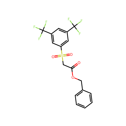 O=C(CS(=O)(=O)c1cc(C(F)(F)F)cc(C(F)(F)F)c1)OCc1ccccc1